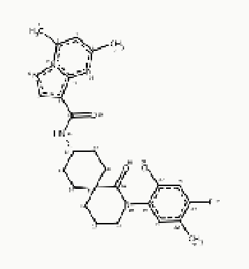 Cc1cc(C)n2ncc(C(=O)N[C@H]3CC[C@@]4(CCCN(c5cc(C)c(F)cc5Cl)C4=O)CC3)c2n1